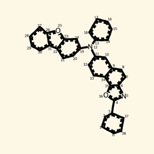 c1ccc(-c2nc3ccc4cc(N(c5ccccc5)c5ccc6c(c5)oc5ccccc56)ccc4c3o2)cc1